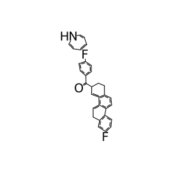 C1=CC=CNC=C1.O=C(c1ccc(F)cc1)C1C=c2c(ccc3c2=CCc2cc(F)ccc2-3)CC1